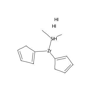 C[SiH](C)[Zr]([C]1=CC=CC1)[C]1=CC=CC1.I.I